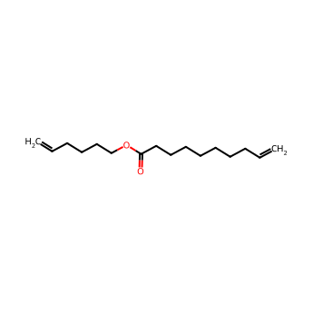 C=CCCCCCCCC(=O)OCCCCC=C